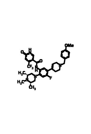 COc1ccc(CN2CC=C(c3cc(NC(=O)c4c[nH]c(=O)cc4C(F)(F)F)c(N4C[C@@H](C)N(C)[C@@H](C)C4)cc3F)CC2)cc1